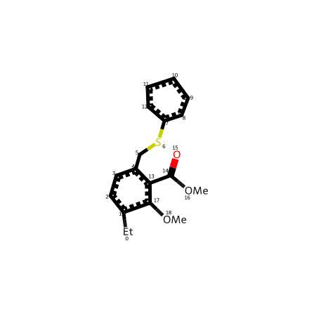 CCc1ccc(CSc2ccccc2)c(C(=O)OC)c1OC